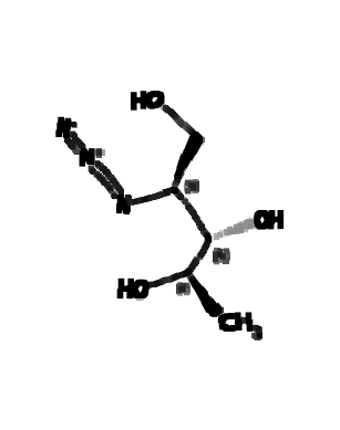 C[C@@H](O)[C@@H](O)[C@H](CO)N=[N+]=[N-]